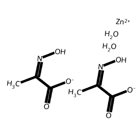 CC(=NO)C(=O)[O-].CC(=NO)C(=O)[O-].O.O.[Zn+2]